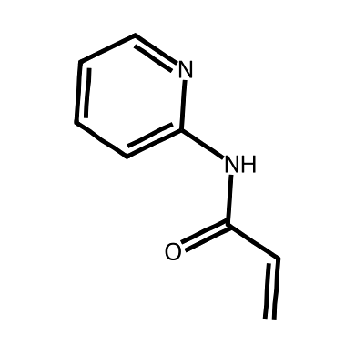 C=CC(=O)Nc1ccccn1